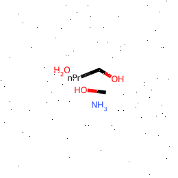 CCCCO.CO.N.O